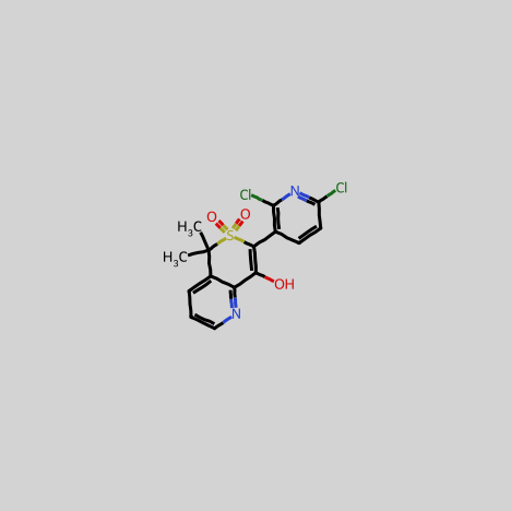 CC1(C)c2cccnc2C(O)=C(c2ccc(Cl)nc2Cl)S1(=O)=O